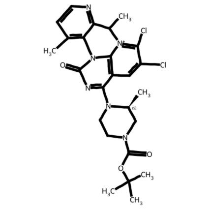 Cc1ccnc2c1-n1c(=O)nc(N3CCN(C(=O)OC(C)(C)C)C[C@@H]3C)c3cc(Cl)c(Cl)[n+](c31)C2C